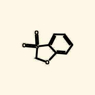 O=S1(=O)[CH]Oc2ccccc21